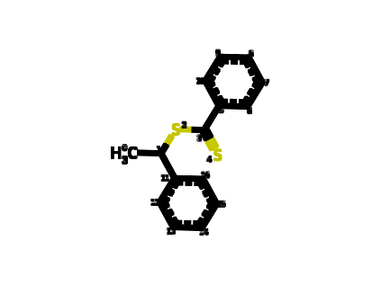 CC(SC(=S)c1ccccc1)c1ccccc1